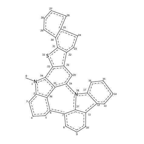 Cn1c2cccc3c4cccc5c6ccccc6n(c6cc7c8ccc9ccccc9c8sc7c1c6c32)c45